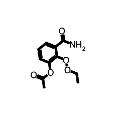 CCOOc1c(OC(C)=O)cccc1C(N)=O